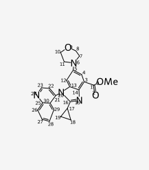 COC(=O)c1cc(N2CCOCC2)cc2c1nc(C1CC1)n2-c1ccnc2ccccc12